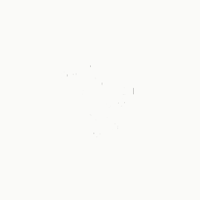 COc1cc(C=C2C(=O)COC2=O)cc2c1OCO2